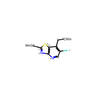 COCc1c(F)cnc2nc(SC)sc12